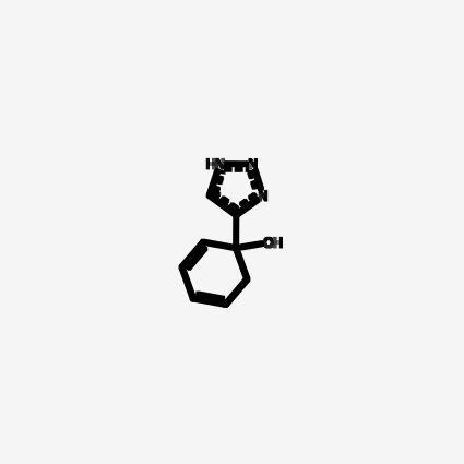 OC1(c2c[nH]nn2)C=CC=CC1